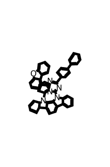 C1=CC2c3ccc4c5ccccc5n(-c5nc(-c6ccc(-c7ccccc7)cc6)nc(-c6cccc7oc8ccccc8c67)n5)c4c3N(c3ccccc3)C2C=C1